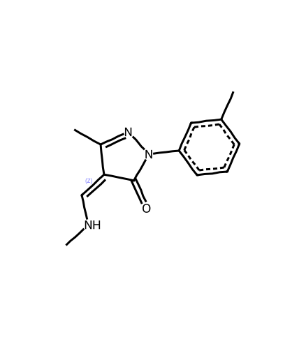 CN/C=C1\C(=O)N(c2cccc(C)c2)N=C1C